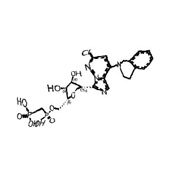 O=P(O)(O)CP(=O)(O)OC[C@H]1O[C@@H](c2ncc3c(N4CCc5ccccc5C4)cc(Cl)nn23)[C@H](O)[C@@H]1O